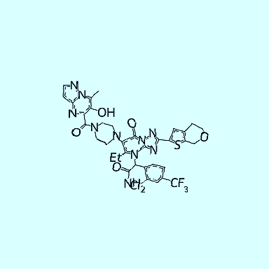 CCc1c(N2CCN(C(=O)c3nc4ccnn4c(C)c3O)CC2)c(=O)n2nc(-c3cc4c(s3)COCC4)nc2n1C(C(N)=O)c1ccc(C(F)(F)F)cc1Cl